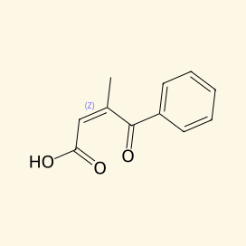 C/C(=C/C(=O)O)C(=O)c1ccccc1